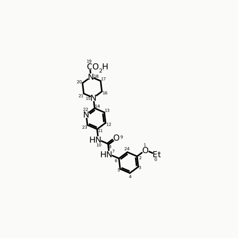 CCOc1cccc(NC(=O)Nc2ccc(N3CCN(C(=O)O)CC3)nc2)c1